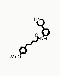 COc1ccc(CCCCC(=O)Nc2cccc(C3CCNCC3)c2)cc1